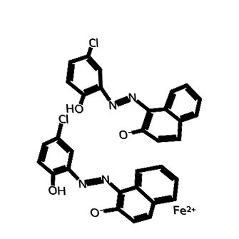 [Fe+2].[O-]c1ccc2ccccc2c1N=Nc1cc(Cl)ccc1O.[O-]c1ccc2ccccc2c1N=Nc1cc(Cl)ccc1O